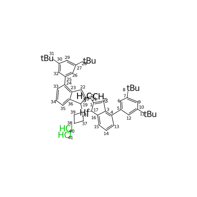 CC1=Cc2c(-c3cc(C(C)(C)C)cc(C(C)(C)C)c3)cccc2[CH]1[Hf]1([CH]2C(C)=Cc3c(-c4cc(C(C)(C)C)cc(C(C)(C)C)c4)cccc32)[CH2]C[CH2]1.Cl.Cl